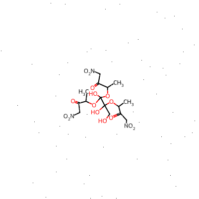 CC(OC(O)(CO)C(O)(OC(C)C(=O)C[N+](=O)[O-])OC(C)C(=O)C[N+](=O)[O-])C(=O)C[N+](=O)[O-]